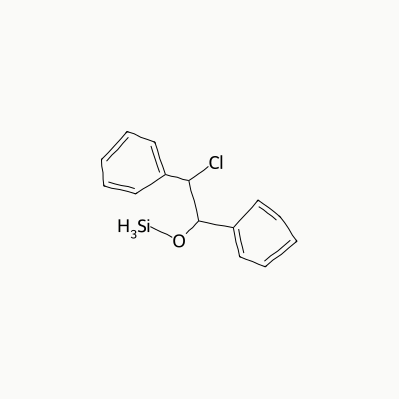 [SiH3]OC(c1ccccc1)C(Cl)c1ccccc1